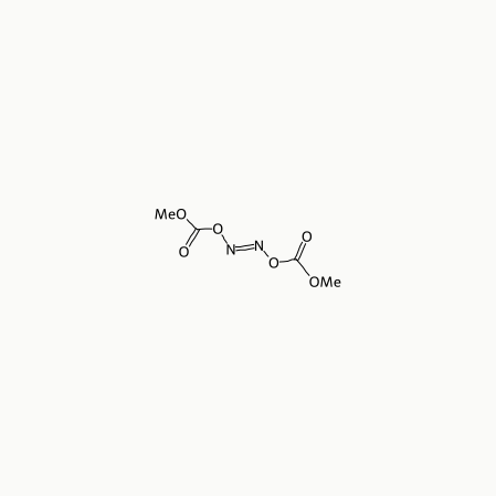 COC(=O)ON=NOC(=O)OC